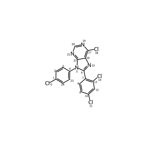 Clc1ccc(-n2c(-c3ccc(Cl)cc3Cl)nc3c(Cl)ncnc32)cc1